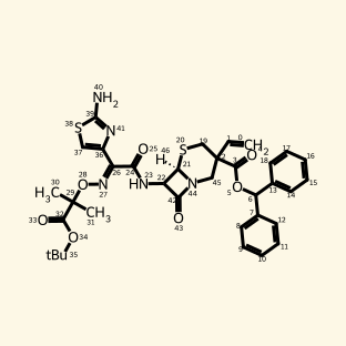 C=CC1(C(=O)OC(c2ccccc2)c2ccccc2)CS[C@@H]2C(NC(=O)C(=NOC(C)(C)C(=O)OC(C)(C)C)c3csc(N)n3)C(=O)N2C1